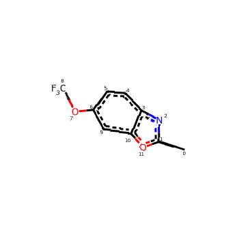 Cc1nc2ccc(OC(F)(F)F)cc2o1